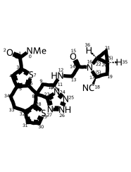 CNC(=O)c1cc2c(s1)C(C[C@@H](C)NCC(=O)N1[C@H](C#N)C[C@@H]3C[C@@H]31)(c1nn[nH]n1)c1sccc1CC2